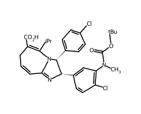 CC(C)C1=C(C(=O)O)CC=CC2=N[C@@H](c3ccc(Cl)c(N(C)C(=O)OC(C)(C)C)c3)[C@@H](c3ccc(Cl)cc3)N21